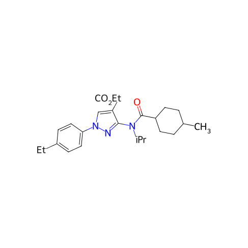 CCOC(=O)c1cn(-c2ccc(CC)cc2)nc1N(C(=O)C1CCC(C)CC1)C(C)C